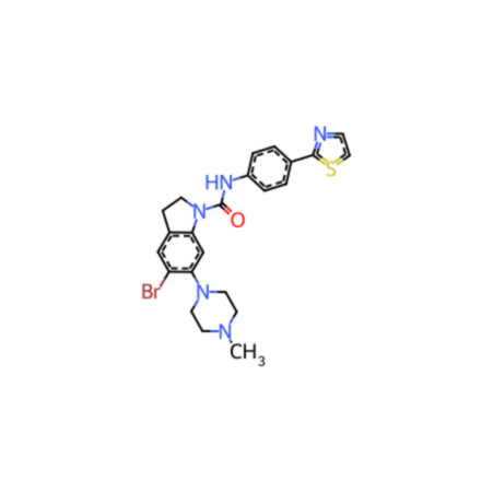 CN1CCN(c2cc3c(cc2Br)CCN3C(=O)Nc2ccc(-c3nccs3)cc2)CC1